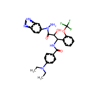 CCN(CC)c1ccc(C(=O)NC(c2ccccc2OC(F)(F)F)C(O)C(=O)N(N)c2ccc3nc[nH]c3c2)cc1